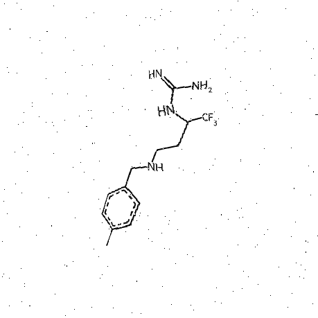 Cc1ccc(CNCCC(NC(=N)N)C(F)(F)F)cc1